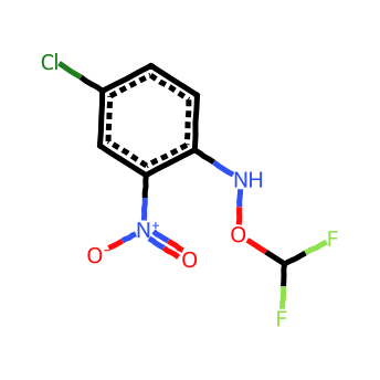 O=[N+]([O-])c1cc(Cl)ccc1NOC(F)F